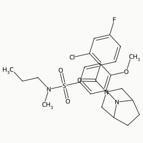 CCCN(C)S(=O)(=O)c1ccc(OC)c(N2C3CCC2CN(C(=O)c2ccc(F)cc2Cl)C3)c1